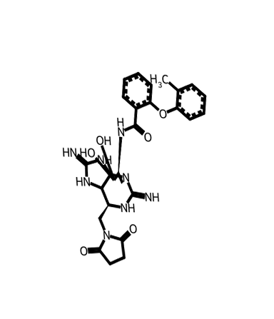 Cc1ccccc1Oc1ccccc1C(=O)N[C@H]1CN2C(=N)N[C@@H](CN3C(=O)CCC3=O)C3NC(=N)NC32C1(O)O